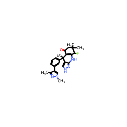 CCC1(c2cccc(-c3cn(C)nc3C)c2)C2=C(Nc3n[nH]cc31)C(F)C(C)(C)CC2=O